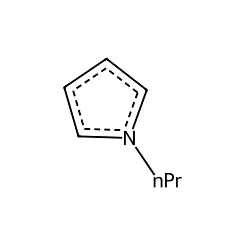 [CH2]CCn1cccc1